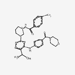 Cc1ccc(C(=O)N[C@@H]2CCCN(c3nnc(C(N)O)c(Nc4ccc(C(=O)N5CCOCC5)cc4)n3)C2)cc1